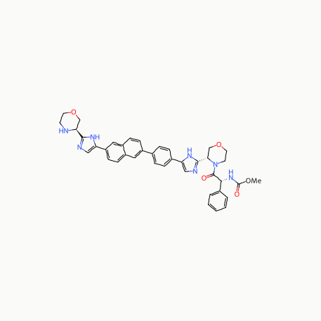 COC(=O)N[C@@H](C(=O)N1CCOC[C@H]1c1ncc(-c2ccc(-c3ccc4cc(-c5cnc([C@@H]6COCCN6)[nH]5)ccc4c3)cc2)[nH]1)c1ccccc1